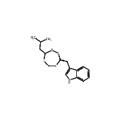 CC(C)CC1SSSC(Cc2c[nH]c3ccccc23)SS1